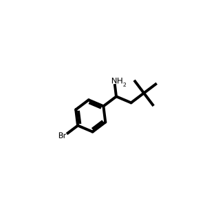 CC(C)(C)CC(N)c1ccc(Br)cc1